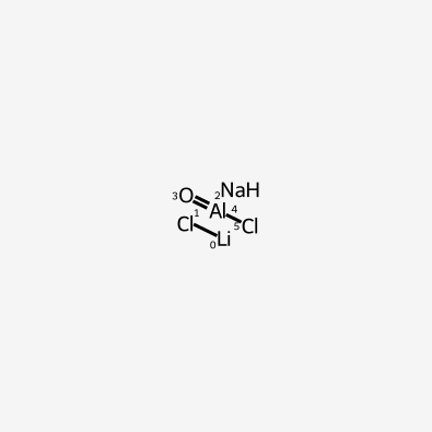 [Li][Cl].[NaH].[O]=[Al][Cl]